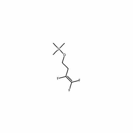 C[Si](C)(C)OCCC(F)=C(F)F